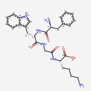 NCCCC[C@H](NC(=O)CNC(=O)[C@H](Cc1c[nH]c2ccccc12)NC(=O)[C@@H](N)Cc1ccccc1)C(=O)O